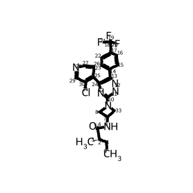 CC[C@H](C)C(=O)NC1CN(c2nnc(-c3ccc(C(F)(F)F)cc3)c(-c3ccncc3Cl)n2)C1